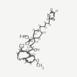 COc1ccc2ncc(Cl)c([C@H](O)CCC3(C(=O)O)CCN(CCCCc4nccs4)CC3)c2c1